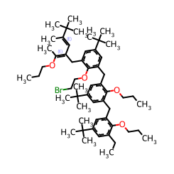 CCCO/C(C)=C(/C=C(\C)C(C)(C)C)Cc1cc(C(C)(C)C)cc(Cc2cc(C(C)(C)C)cc(Cc3cc(C(C)(C)C)cc(CC)c3OCCC)c2OCCC)c1OCCBr